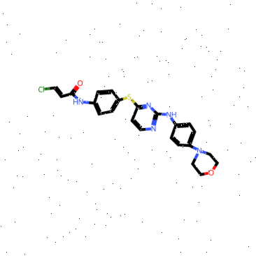 O=C(C=CCl)Nc1ccc(Sc2ccnc(Nc3ccc(N4CCOCC4)cc3)n2)cc1